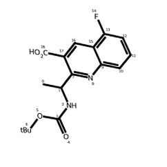 CC(NC(=O)OC(C)(C)C)c1nc2cccc(F)c2cc1C(=O)O